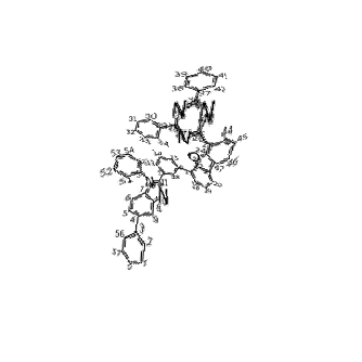 c1ccc(-c2ccc3c(c2)nc(-c2cccc(-c4cccc5c4oc4c(-c6nc(-c7ccccc7)nc(-c7ccccc7)n6)cccc45)c2)n3-c2ccccc2)cc1